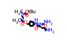 CN(CCN(C)C(=O)OC(C)(C)C)C(=O)OCc1ccc(NC(=O)[C@H](CCCN)NC(N)=O)cc1